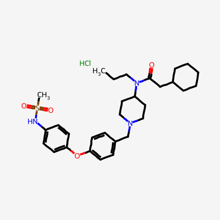 CCCN(C(=O)CC1CCCCC1)C1CCN(Cc2ccc(Oc3ccc(NS(C)(=O)=O)cc3)cc2)CC1.Cl